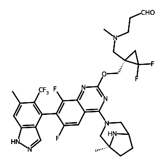 Cc1cc2[nH]ncc2c(-c2c(F)cc3c(N4CC5CC[C@@](C)(C4)N5)nc(OC[C@]4(CN(C)CCC=O)CC4(F)F)nc3c2F)c1C(F)(F)F